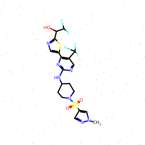 Cn1cc(S(=O)(=O)N2CCC(Nc3ncc(C(F)(F)F)c(-c4cnc(C(O)C(F)F)s4)n3)CC2)cn1